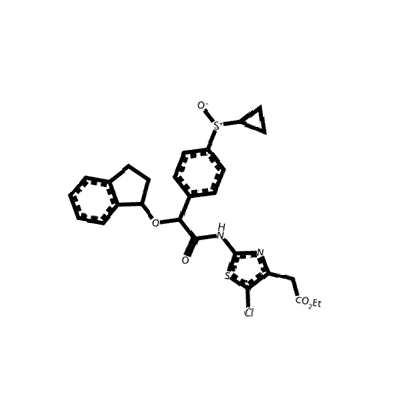 CCOC(=O)Cc1nc(NC(=O)C(OC2CCc3ccccc32)c2ccc([S+]([O-])C3CC3)cc2)sc1Cl